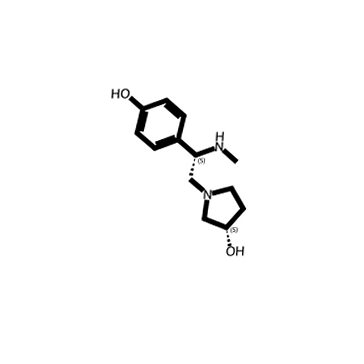 CN[C@H](CN1CC[C@H](O)C1)c1ccc(O)cc1